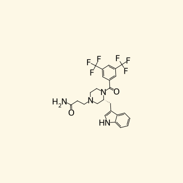 NC(=O)CCN1CCN(C(=O)c2cc(C(F)(F)F)cc(C(F)(F)F)c2)[C@H](Cc2c[nH]c3ccccc23)C1